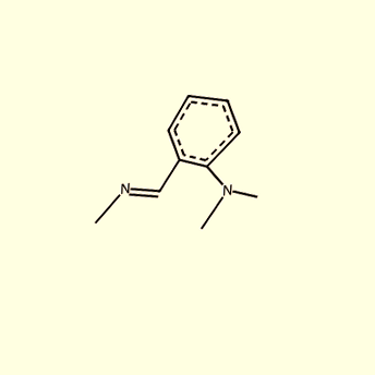 C/N=C/c1ccccc1N(C)C